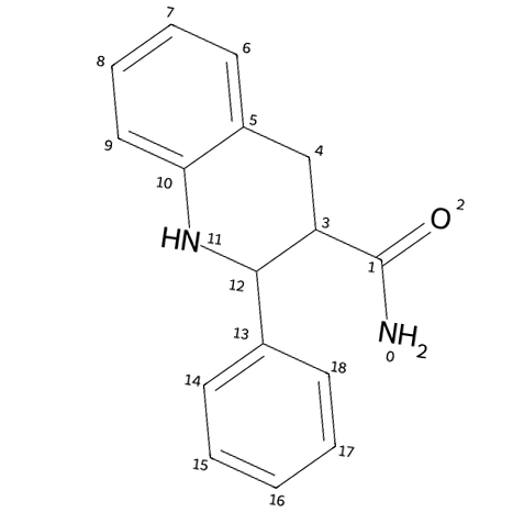 NC(=O)C1Cc2ccccc2NC1c1ccccc1